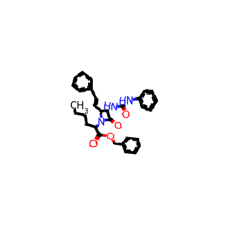 CCCCC(C(=O)OCc1ccccc1)N1C(=O)C(NC(=O)Nc2ccccc2)C1C=Cc1ccccc1